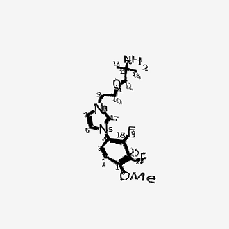 COc1ccc(N2C=CN(CCOCC(C)(C)N)C2)c(F)c1F